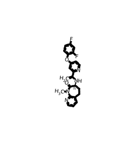 C=C(N[C@H]1CCc2cccnc2N(C)C1=O)c1cc(Oc2ccc(F)cc2F)ccn1